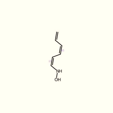 C=C/C=C\C=C/NO